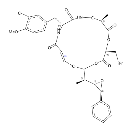 COc1ccc(C[C@H]2NC(=O)/C=C/CC([C@H](C)[C@@H]3O[C@H]3c3ccccc3)OC(=O)[C@H](CC(C)C)OC(=O)[C@H](C)CNC2=O)cc1Cl